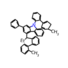 CCC(c1ccccc1-c1ccccc1C)c1cc(-c2ccccc2)cc2c1c1ccccc1n2-c1ccccc1C1=CCC(C)C=C1